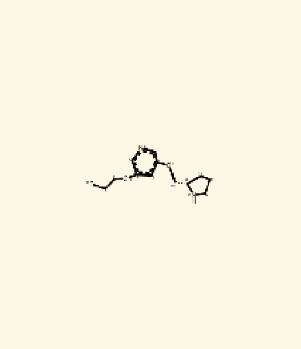 FCCCc1cncc(OC[C@@H]2CCCN2)c1